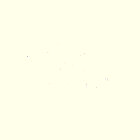 Cc1c(O)c(C=NC2CCN(C)CC2)c2nc3c(O)cc(I)c(C(=O)NC4CCN(C)CC4)c3nc2c1O